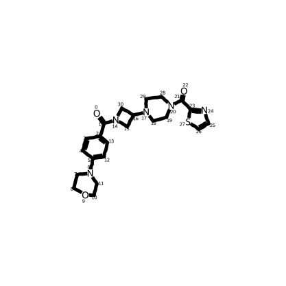 O=C(c1ccc(N2CCOCC2)cc1)N1CC(N2CCN(C(=O)c3nccs3)CC2)C1